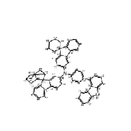 c1ccc2c(c1)-c1cc(N(c3ccc(-c4cccc5oc6ccccc6c45)cc3)c3ccc4c(c3)C3(c5ccccc5-4)C4CC5CC(C4)C3C5)ccc1C21CCCCC1